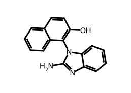 Nc1nc2ccccc2n1-c1c(O)ccc2ccccc12